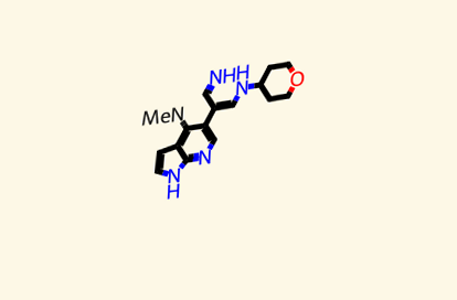 CNc1c(/C(C=N)=C/NC2CCOCC2)cnc2[nH]ccc12